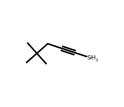 CC(C)(C)CC#C[SiH3]